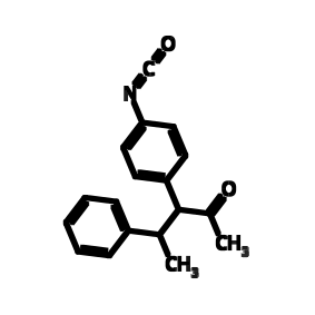 CC(=O)C(c1ccc(N=C=O)cc1)C(C)c1ccccc1